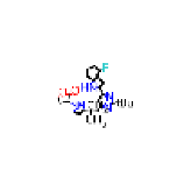 CC(C)(C)c1nc(CC(C)(C)c2ccn(C3CCOC3=O)n2)cc(-c2cc3c(F)cccc3[nH]2)n1